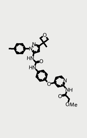 COCC(=O)Nc1cc(Oc2ccc(NC(=O)Nc3cc(C4(C)COC4)nn3-c3ccc(C)cc3)cc2)ccn1